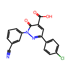 N#Cc1cccc(-n2nc(-c3ccc(Cl)cc3)cc(C(=O)O)c2=O)c1